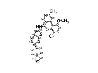 COc1ccc(Cl)cc1-c1cc(C)ncc1C(=O)Nc1nc2ncc(N3CCC4(CC3)COC4)nc2s1